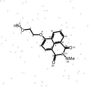 CCCCOCCOc1ccc2c3c(cccc13)C(=O)N(NC)C2=O